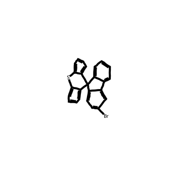 Brc1ccc2c(c1)-c1ccccc1C21c2ccccc2Sc2ccccc21